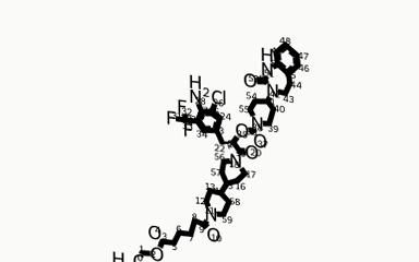 CCOC(=O)CCCCC(=O)N1CCC(C2CCN(C(=O)[C@@H](Cc3cc(Cl)c(N)c(C(F)(F)F)c3)OC(=O)N3CCC(N4CCc5ccccc5NC4=O)CC3)CC2)CC1